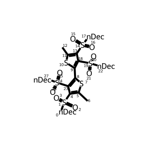 CCCCCCCCCCS(=O)(=O)c1c(C)sc(-c2sc(C)c(S(=O)(=O)CCCCCCCCCC)c2S(=O)(=O)CCCCCCCCCC)c1S(=O)(=O)CCCCCCCCCC